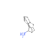 NC1C2=C3C=C4CC3CC2CC1C4